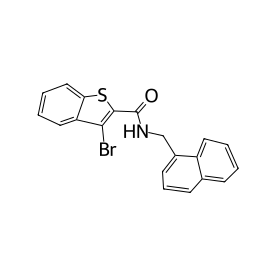 O=C(NCc1cccc2ccccc12)c1sc2ccccc2c1Br